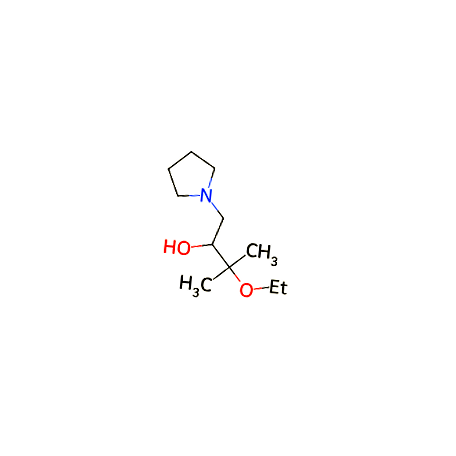 CCOC(C)(C)C(O)CN1CCCC1